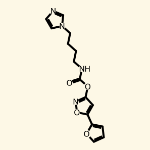 O=C(NCCCCn1ccnc1)Oc1cc(-c2ccco2)on1